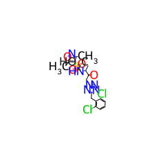 Cc1noc(C)c1S(=O)(=O)NC(CC(=O)O)C(=O)Cn1nnc(Cc2c(Cl)cccc2Cl)n1